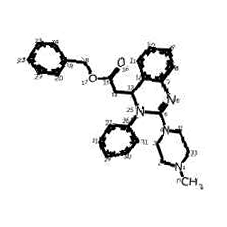 CN1CCN(C2=Nc3ccccc3C(CC(=O)OCc3ccccc3)N2c2ccccc2)CC1